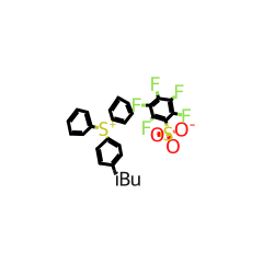 CCC(C)c1ccc([S+](c2ccccc2)c2ccccc2)cc1.O=S(=O)([O-])c1c(F)c(F)c(F)c(F)c1F